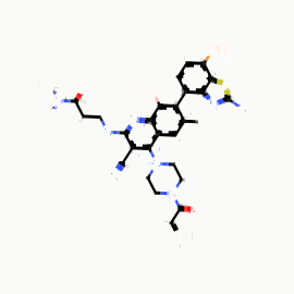 Bc1c(-c2ccc(P)c3sc(N)nc23)c(C)cc2c(N3CCN(C(=O)C=C)CC3)c(C#N)c(NCCC(=O)N(C)C)nc12